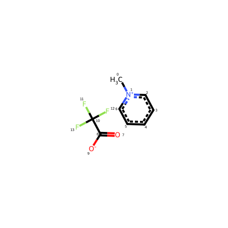 C[n+]1ccccc1.O=C([O-])C(F)(F)F